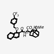 COC12CC3CC(C1)CC([C@H](NC(=O)c1ccc4ccccc4c1OCc1ccc(C(F)(F)F)cc1)C(=O)O)(C3)C2